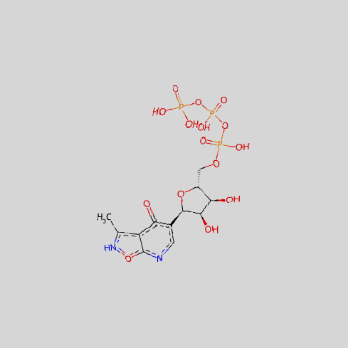 Cc1[nH]oc2ncc([C@H]3O[C@H](COP(=O)(O)OP(=O)(O)OP(=O)(O)O)[C@@H](O)[C@H]3O)c(=O)c1-2